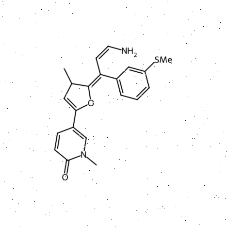 CSc1cccc(C(/C=C\N)=C2\OC(c3ccc(=O)n(C)c3)=CC2C)c1